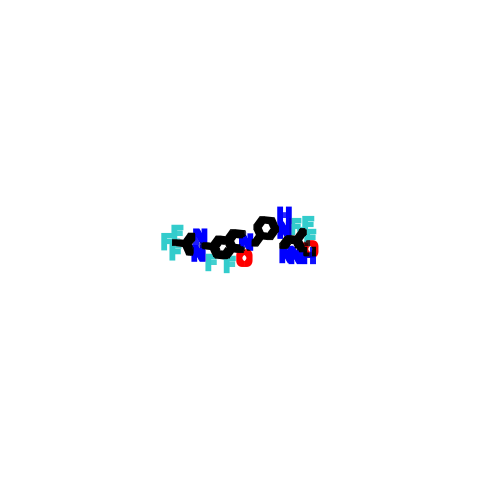 O=c1[nH]ncc(N[C@H]2CCCC(Cn3ccc4cc(-c5ncc(C(F)(F)F)cn5)c(F)c(F)c4c3=O)C2)c1C(F)(F)F